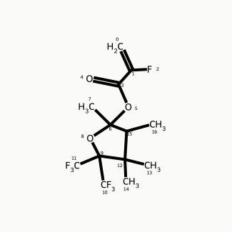 C=C(F)C(=O)OC1(C)OC(C(F)(F)F)(C(F)(F)F)C(C)(C)C1C